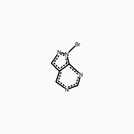 Brn1ncc2cncnc21